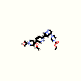 CCOC(=O)N1CCN(c2ccnn3cc(-c4ccc(C5(OCC)CCN(C6COC6)CC5)cn4)cc23)CC1